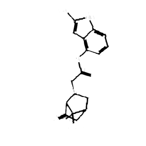 CC(C)(C)c1cc2c(NC(=O)C[C@H]3CC4CC(=O)C3C4(C)C)cccc2[nH]1